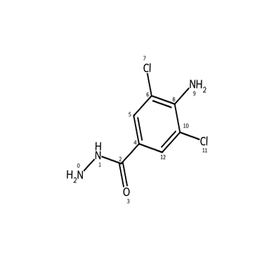 NNC(=O)c1cc(Cl)c(N)c(Cl)c1